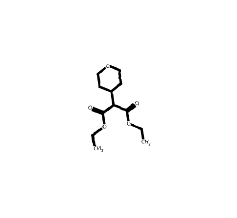 CCOC(=O)C(C(=O)OCC)C1CCOCC1